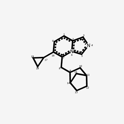 c1cc2cncn2c(CC2CC3CCC2C3)c1C1CC1